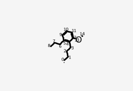 [CH2]CCCc1c(CCC)cccc1OC